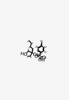 CCCC[C@@](O)(CC)CO.Cc1ccc(S(=O)(=O)O)cc1